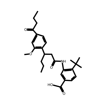 CCCC(=O)c1ccc(C(CCC)CC(=O)Nc2cc(C(=O)O)ccc2C(C)(C)C)c(OC)c1